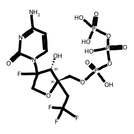 Nc1ccn(C2(F)CO[C@@](COP(=O)(O)OP(=O)(O)OP(=O)(O)O)(CC(F)(F)F)[C@H]2O)c(=O)n1